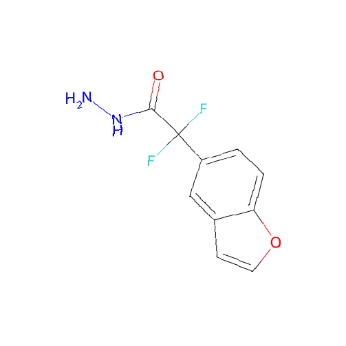 NNC(=O)C(F)(F)c1ccc2occc2c1